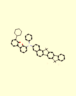 CC1(C)c2ccccc2-c2cc3c(cc21)-c1ccc2cc(N(c4ccccc4)c4cccc5c4oc4c(C6CCCCC6)cccc45)ccc2c1C3(C)C